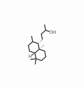 CC(O)CC[C@H]1C(C)CC[C@H]2C(C)(C)CCC[C@]12C